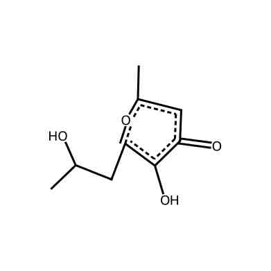 Cc1cc(=O)c(O)c(CC(C)O)o1